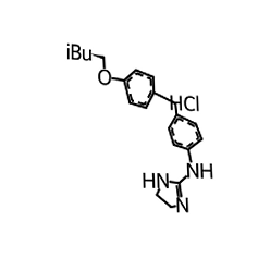 CC[C@H](C)COc1ccc(Cc2ccc(NC3=NCCN3)cc2)cc1.Cl